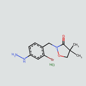 CC1(C)CON(Cc2ccc(NN)cc2Br)C1=O.Cl